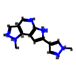 Cn1cc(-c2cc3c(ncc4cnn(C)c43)[nH]2)cn1